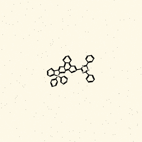 c1ccc(-c2nc(-c3ccccc3)nc(-c3ccc4c(c3)c3ccccc3c3cc5c(cc43)[Si](c3ccccc3)(c3ccccc3)c3ccccc3-5)n2)cc1